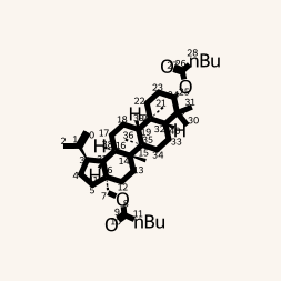 C=C(C)[C@@H]1CC[C@]2(COC(=O)CCCC)CC[C@]3(C)[C@H](CC[C@@H]4[C@@]5(C)CC[C@H](OC(=O)CCCC)C(C)(C)[C@@H]5CC[C@]43C)[C@@H]12